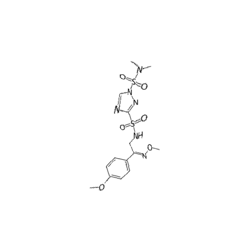 CO/N=C(\CNS(=O)(=O)c1ncn(S(=O)(=O)N(C)C)n1)c1ccc(OC)cc1